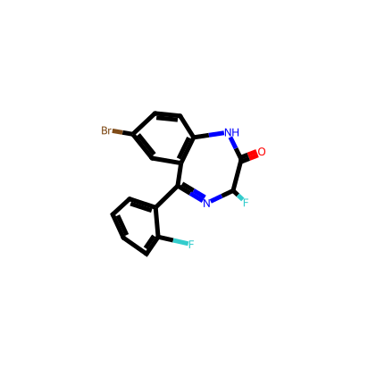 O=C1Nc2ccc(Br)cc2C(c2ccccc2F)=NC1F